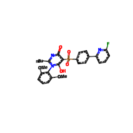 CCCCc1nc(=O)c(S(=O)(=O)c2ccc(-c3cccc(F)n3)cc2)c(O)n1-c1c(OC)cccc1OC